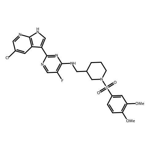 COc1ccc(S(=O)(=O)N2CCCC(CNc3nc(-c4c[nH]c5ncc(Cl)cc45)ncc3F)C2)cc1OC